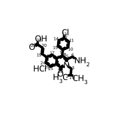 CC(C)Cn1c(CN)c(-c2ccc(Cl)cc2)c2cc(C=CC(=O)O)ccc2c1=O.Cl